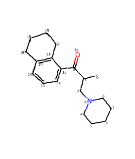 CC(CN1CCCCC1)C(=O)c1cccc2c1CCCC2